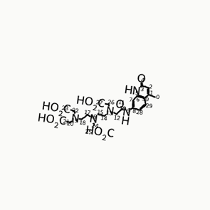 Cc1cc(=O)[nH]c2cc(NC(=O)CN(CCN(CCN(CC(=O)O)CC(=O)O)CC(=O)O)CC(=O)O)ccc12